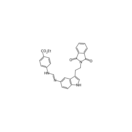 CCOC(=O)c1ccc(NC=Nc2ccc3[nH]cc(CCN4C(=O)c5ccccc5C4=O)c3c2)cc1